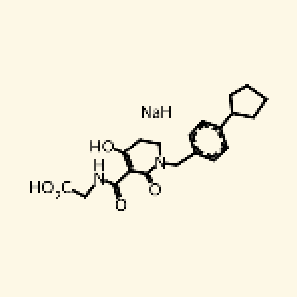 O=C(O)CNC(=O)C1=C(O)CCN(Cc2ccc(C3CCCC3)cc2)C1=O.[NaH]